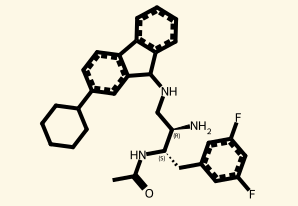 CC(=O)N[C@@H](Cc1cc(F)cc(F)c1)[C@H](N)CNC1c2ccccc2-c2ccc(C3CCCCC3)cc21